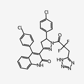 O=C(N1N=C(c2c(-c3ccc(Cl)cc3)c3ccccc3[nH]c2=O)CC1c1ccc(Cl)cc1)C(F)(F)Cc1nnn[nH]1